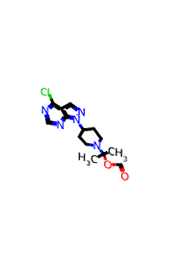 CC(C)(OC=O)N1CCC(n2ncc3c(Cl)ncnc32)CC1